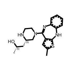 Cc1cc2c(s1)Nc1ccccc1N=C2N1CCN[C@@H](C[C@H](C)O)C1